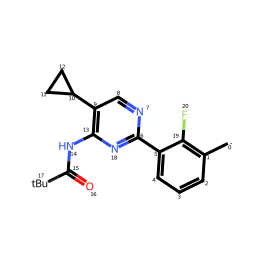 [CH2]c1cccc(-c2ncc(C3CC3)c(NC(=O)C(C)(C)C)n2)c1F